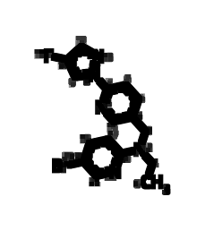 CCN(Cc1ccc(-n2cc(F)cn2)nc1)c1ccc(Br)cn1